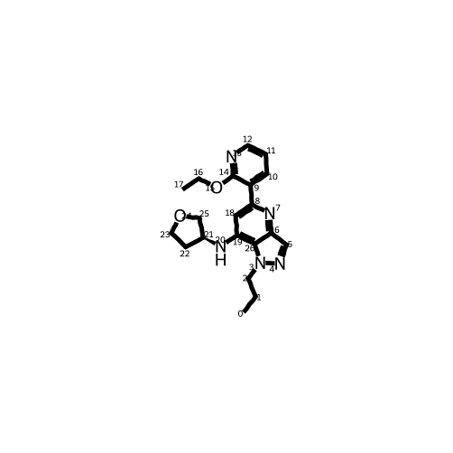 CCCn1ncc2nc(-c3cccnc3OCC)cc(N[C@H]3CCOC3)c21